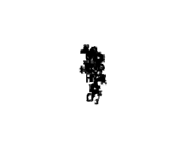 O=C(N[C@@H](c1ccc(C(F)(F)F)c(F)c1)C1CC1)[C@H]1C[C@H]2C[C@H]2N1C(=O)c1cccc(S(=O)(=O)C2CC2)c1